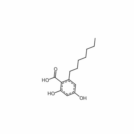 CCCCCCCc1cc(O)cc(O)c1C(=O)O